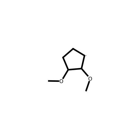 COC1[CH]CCC1OC